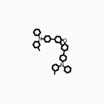 Cc1cccc(N(c2ccccc2)c2ccc(-c3ccc4oc5ccc(-c6ccc(N(c7ccccc7)c7cccc(C)c7)cc6)cc5c4c3)cc2)c1